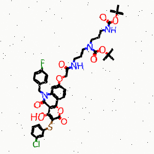 CC(C)(C)OC(=O)NCCCN(CCCNC(=O)COc1ccc2c3oc(=O)c(Sc4cccc(Cl)c4)c(O)c3c(=O)n(Cc3ccc(F)cc3)c2c1)C(=O)OC(C)(C)C